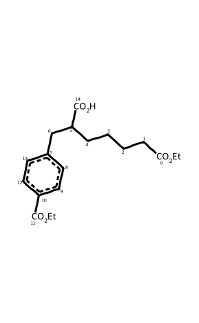 CCOC(=O)CCCCC(Cc1ccc(C(=O)OCC)cc1)C(=O)O